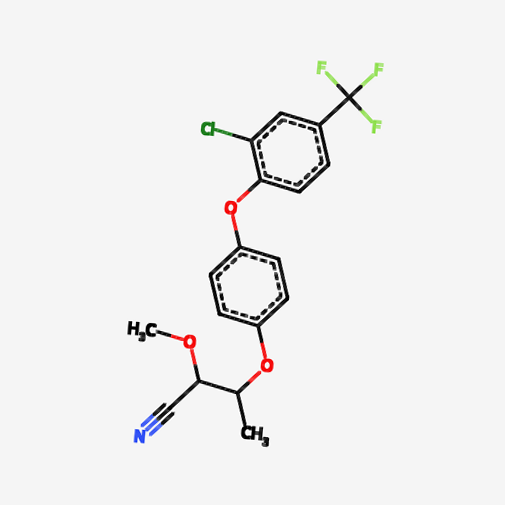 COC(C#N)C(C)Oc1ccc(Oc2ccc(C(F)(F)F)cc2Cl)cc1